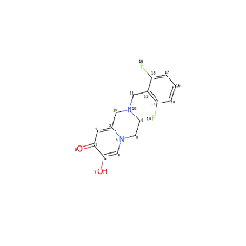 O=c1cc2n(cc1O)CCN(Cc1c(F)cccc1F)C2